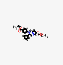 COCO[C@H]1CCN(CC(c2ccccc2)N(C)c2ccc(C(=O)OC)cc2)C1